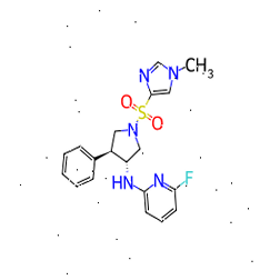 Cn1cnc(S(=O)(=O)N2C[C@H](Nc3cccc(F)n3)[C@@H](c3ccccc3)C2)c1